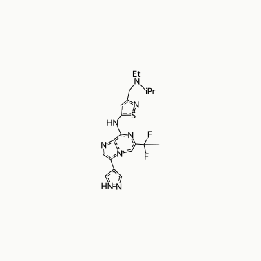 CCN(Cc1cc(Nc2nc(C(C)(F)F)cn3c(-c4cn[nH]c4)cnc23)sn1)C(C)C